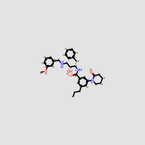 CCCc1cc(C(=O)N[C@@H](Cc2ccccc2)[C@H](O)CNCc2cccc(OC)c2)cc(N2CCCCC2=O)c1